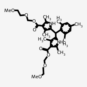 COCCOCOC(=O)c1c(C)[nH]c(C(c2[nH]c(C)c(C(=O)OCOCCOC)c2C)c2c(C)cc(C)cc2C)c1C